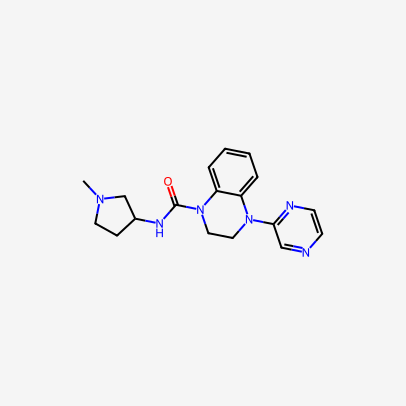 CN1CCC(NC(=O)N2CCN(c3cnccn3)c3ccccc32)C1